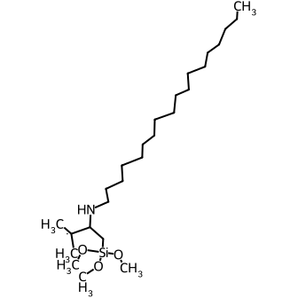 CCCCCCCCCCCCCCCCCCNC(C[Si](OC)(OC)OC)[C](C)C